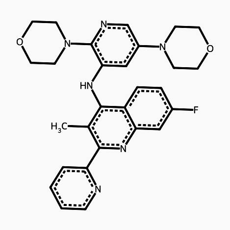 Cc1c(-c2ccccn2)nc2cc(F)ccc2c1Nc1cc(N2CCOCC2)cnc1N1CCOCC1